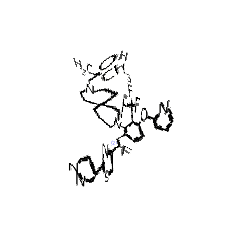 CC(C)(O)CN1CCC2(CCCN(c3c(/C=C(\F)c4csc(-c5ccnnc5)n4)ccc(Oc4ccccn4)c3C(F)(F)F)C2)CC1